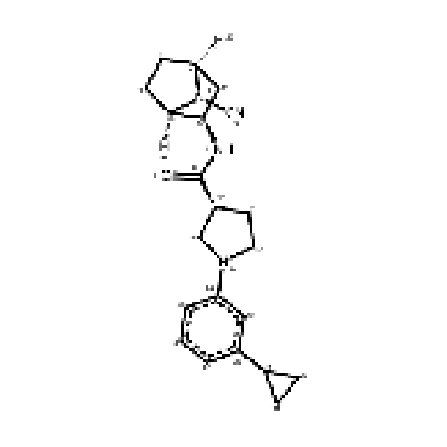 N#CN1[C@H]2CC[C@@H]1[C@H](NC(=O)[C@H]1CCN(c3cccc(C4CC4)c3)C1)C2